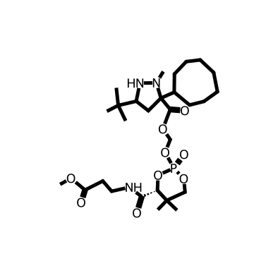 COC(=O)CCNC(=O)[C@@H]1OP(=O)(OCOC(=O)C2(C3CCCCCCC3)CC(C(C)(C)C)NN2C)OCC1(C)C